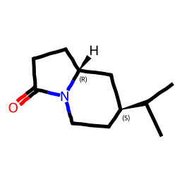 CC(C)[C@H]1CCN2C(=O)CC[C@@H]2C1